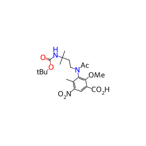 COc1c(C(=O)O)cc([N+](=O)[O-])c(C)c1N(CCC(C)(C)NC(=O)OC(C)(C)C)C(C)=O